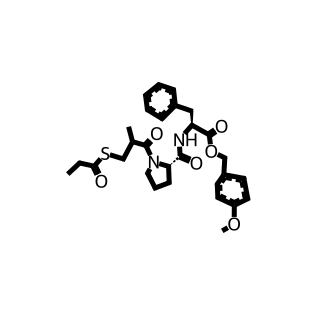 CCC(=O)SCC(C)C(=O)N1CCC[C@H]1C(=O)N[C@@H](Cc1ccccc1)C(=O)OCc1ccc(OC)cc1